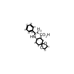 C[C@H](N[C@H]1CCC2(C[C@H]1C(=O)O)OCCO2)c1ccccc1